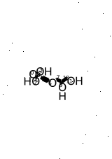 O=P(O)(O)C#COCC(O)CO